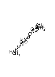 CNCCOCCOCCNC(=O)CCC(=O)NCCOCCOCCNC(=O)CCC(=O)OC(C)(C)C